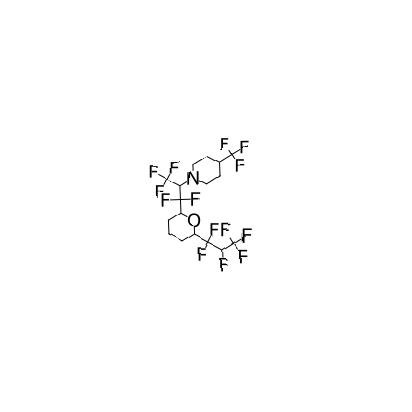 FC(C(F)(F)F)C(F)(F)C1CCCC(C(F)(F)C(N2CCC(C(F)(F)F)CC2)C(F)(F)F)O1